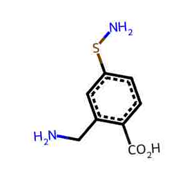 NCc1cc(SN)ccc1C(=O)O